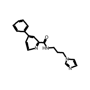 O=C(NCCCn1ccnc1)c1cc(-c2ccccc2)ccn1